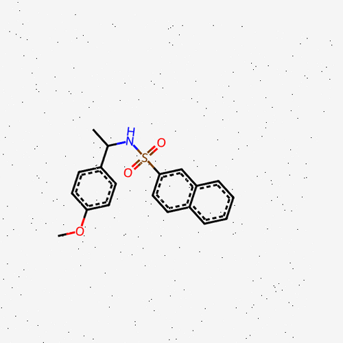 COc1ccc(C(C)NS(=O)(=O)c2ccc3ccccc3c2)cc1